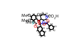 COCOc1cc2ccccc2cc1C(=O)NC1C(C(=O)c2c(OC)cc(OC)c(OC)c2F)CCCN(C(=O)O)C1OC(=O)c1ccccc1